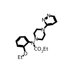 CCOC(=O)N(c1ccccc1OCC)N1CCN(c2cccnn2)CC1